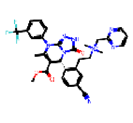 COC(=O)C1=C(C)N(c2cccc(C(F)(F)F)c2)c2n[nH]c(=O)n2[C@@H]1c1ccc(C#N)cc1CC[N+](C)(C)Cc1ncccn1